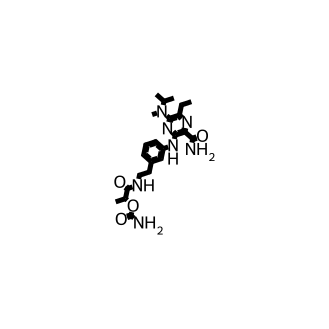 CCc1nc(C(N)=O)c(Nc2cccc(CCNC(=O)C(C)OC(N)=O)c2)nc1N(C)C(C)C